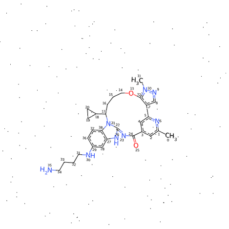 Cc1cc2cc(n1)-c1cnn(C)c1OCCCC(C1CC1)N1/C(=N/C2=O)Nc2cc(NCCCCN)ccc21